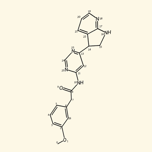 COc1cccc(CC(=O)Nc2cc(C3CNc4ncccc43)ncn2)c1